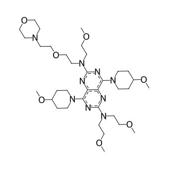 COCCN(CCOC)c1nc(N2CCC(OC)CC2)c2nc(N(CCOC)CCOCCN3CCOCC3)nc(N3CCC(OC)CC3)c2n1